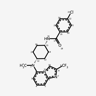 CN(c1cccc2nc(C(F)(F)F)cn12)[C@H]1CC[C@@H](NC(=O)c2ccc(Cl)cc2)CC1